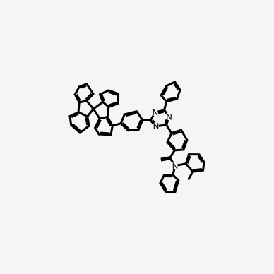 C=C(c1cccc(-c2nc(-c3ccccc3)nc(-c3ccc(-c4cccc5c4-c4ccccc4C54c5ccccc5-c5ccccc54)cc3)n2)c1)N(c1ccccc1)c1ccccc1C